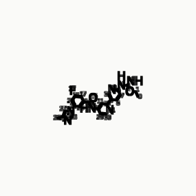 CCOC(=N)Nc1ccc(-c2cc(NC(=O)c3cc(F)cc(-n4cnc(C)c4)c3)ccn2)cn1